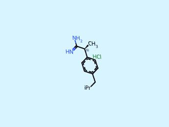 CC(C)Cc1ccc([C@H](C)C(=N)N)cc1.Cl